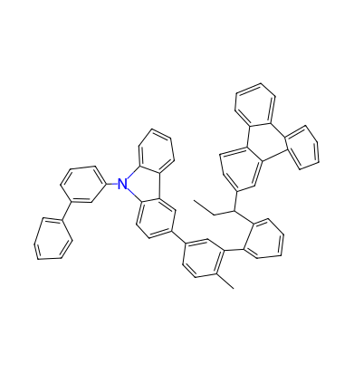 CCC(c1ccc2c3ccccc3c3ccccc3c2c1)c1ccccc1-c1cc(-c2ccc3c(c2)c2ccccc2n3-c2cccc(-c3ccccc3)c2)ccc1C